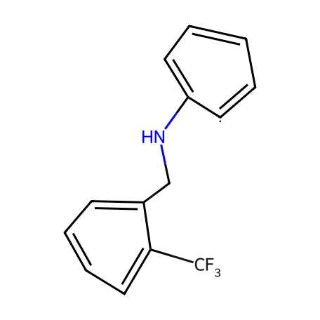 FC(F)(F)c1ccccc1CNc1[c]cccc1